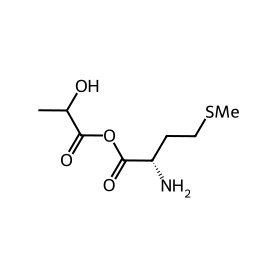 CSCC[C@H](N)C(=O)OC(=O)C(C)O